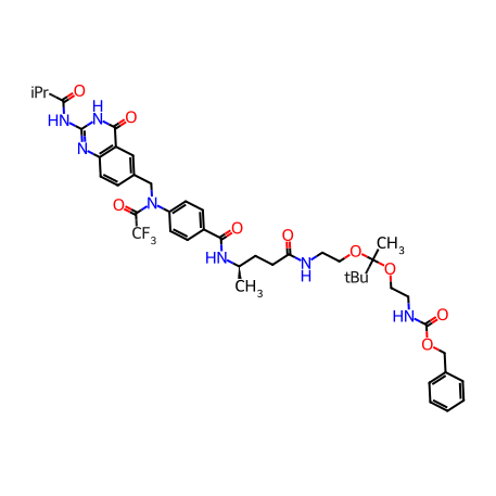 CC(C)C(=O)Nc1nc2ccc(CN(C(=O)C(F)(F)F)c3ccc(C(=O)N[C@H](C)CCC(=O)NCCOC(C)(OCCNC(=O)OCc4ccccc4)C(C)(C)C)cc3)cc2c(=O)[nH]1